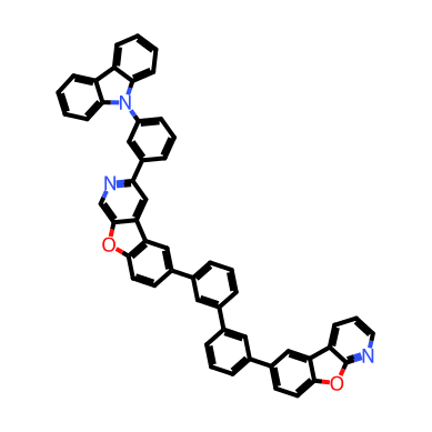 c1cc(-c2cccc(-c3ccc4oc5ncccc5c4c3)c2)cc(-c2ccc3oc4cnc(-c5cccc(-n6c7ccccc7c7ccccc76)c5)cc4c3c2)c1